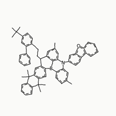 Cc1ccc2c(c1)N(c1ccc3c(c1)oc1ccccc13)c1cc(C)cc3c1B2c1cc2c(cc1C3CCc1ccc(C(C)(C)C)cc1-c1ccccc1)C(C)(C)c1ccccc1C2(C)C